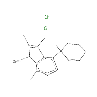 CC1=C(C)[CH]([Zr+2])c2c(C)ccc(C3(C)CCCCC3)c21.[Cl-].[Cl-]